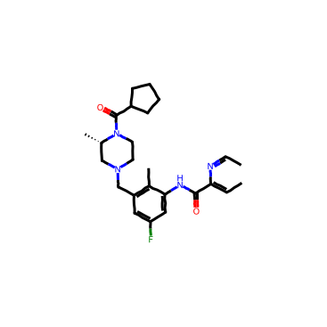 C/C=N\C(=C/C)C(=O)Nc1cc(F)cc(CN2CCN(C(=O)C3CCCC3)[C@@H](C)C2)c1C